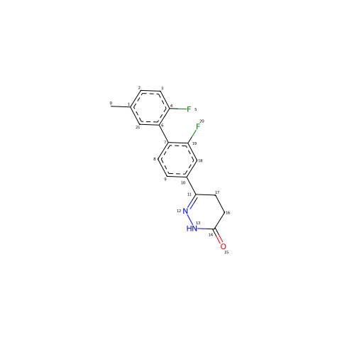 Cc1ccc(F)c(-c2ccc(C3=NNC(=O)CC3)cc2F)c1